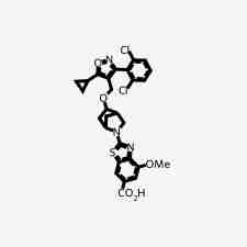 COc1cc(C(=O)O)cc2sc(N3CC4CC3CC4OCc3c(-c4c(Cl)cccc4Cl)noc3C3CC3)nc12